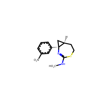 O=C(O)NC1=N[C@@]2(c3cccc([N+](=O)[O-])c3)C[C@H]2CCS1